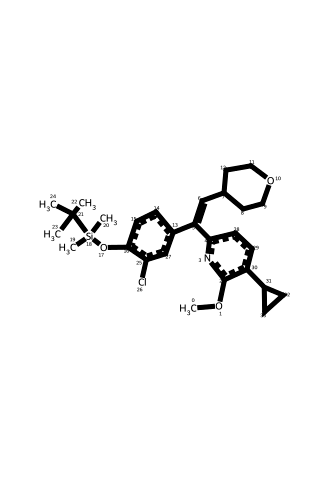 COc1nc(/C(=C\C2CCOCC2)c2ccc(O[Si](C)(C)C(C)(C)C)c(Cl)c2)ccc1C1CC1